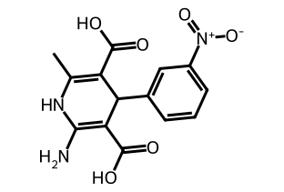 CC1=C(C(=O)O)C(c2cccc([N+](=O)[O-])c2)C(C(=O)O)=C(N)N1